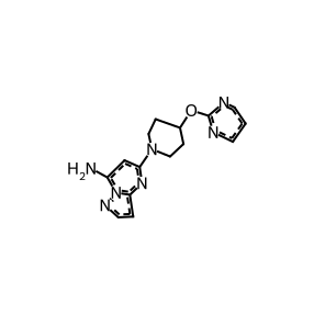 Nc1cc(N2CCC(Oc3ncccn3)CC2)nc2ccnn12